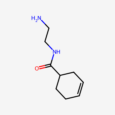 NCCNC(=O)C1CC=CCC1